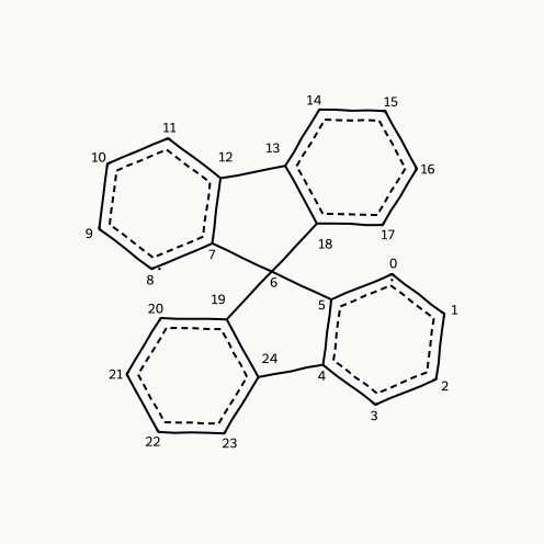 [c]1cccc2c1C1(c3[c]cccc3-c3ccccc31)c1ccccc1-2